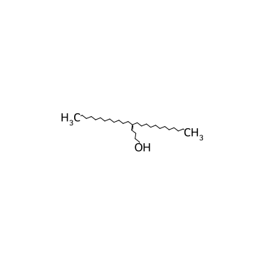 CCCCCCCCCCCCC(=CCCCO)CCCCCCCCCCCC